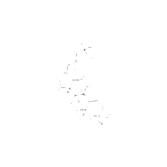 CCC(O)(I)CC[C@@H](C)[C@H]1CC[C@H]2[C@@H]3CC[C@H]4C[C@@](C)(O)CC[C@]4(C)[C@H]3CC[C@]12C